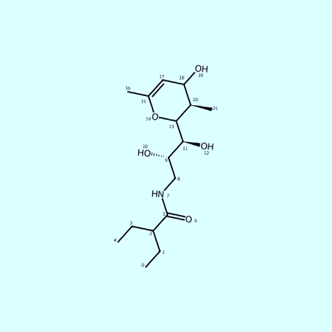 CCC(CC)C(=O)NC[C@H](O)[C@H](O)C1OC(C)=CC(O)[C@H]1C